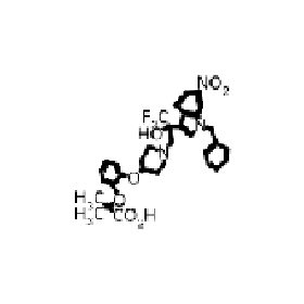 CC(C)(Oc1ccccc1OC1CCN(CC(O)(c2cn(Cc3ccccc3)c3cc([N+](=O)[O-])ccc23)C(F)(F)F)CC1)C(=O)O